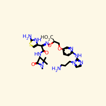 CN1C(=O)[C@@H](NC(=O)/C(=N\O[C@H](COc2ccc(Nc3nccn3CCCN)nc2)C(=O)O)C2=CSC(N)N2)C1(C)C